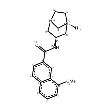 COc1cccc2ccc(C(=O)N[C@@H]3C[C@@H]4CCN(C4)C3)cc12